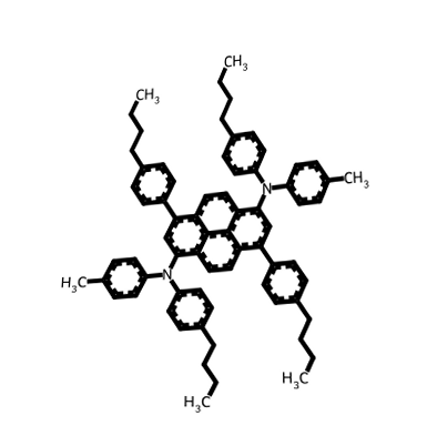 CCCCc1ccc(-c2cc(N(c3ccc(C)cc3)c3ccc(CCCC)cc3)c3ccc4c(-c5ccc(CCCC)cc5)cc(N(c5ccc(C)cc5)c5ccc(CCCC)cc5)c5ccc2c3c45)cc1